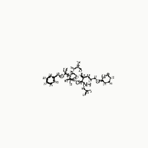 CC(C)CNC(=O)C(=C[C@@H]1OC(C)(C)N(C(=O)OCc2ccccc2)[C@H]1CC(C)C)CCCOC1CCCCO1